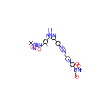 CNC(=O)C(CCC=O)c1ccc(N2CCC(CCN3CCN(c4ccc(-c5cnc6[nH]nc(-c7ccc(CNC(=O)c8noc(C(C)(C)C)n8)c(C)c7)c6c5)cc4)CC3)CC2)cc1OC